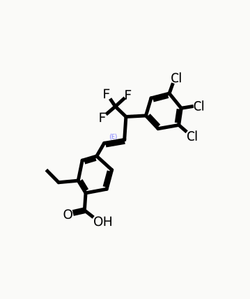 CCc1cc(/C=C/C(c2cc(Cl)c(Cl)c(Cl)c2)C(F)(F)F)ccc1C(=O)O